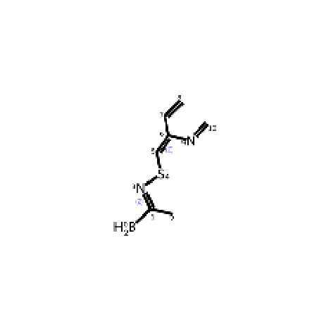 B/C(C)=N/S/C=C(/C=C)N=C